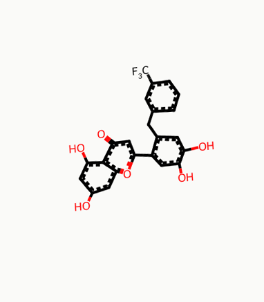 O=c1cc(-c2cc(O)c(O)cc2Cc2cccc(C(F)(F)F)c2)oc2cc(O)cc(O)c12